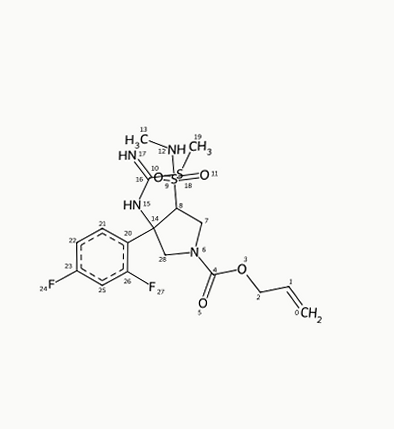 C=CCOC(=O)N1CC(S(=O)(=O)NC)C(NC(=N)SC)(c2ccc(F)cc2F)C1